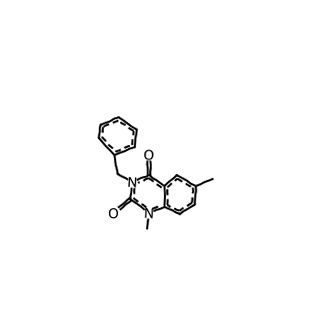 Cc1ccc2c(c1)c(=O)n(Cc1ccccc1)c(=O)n2C